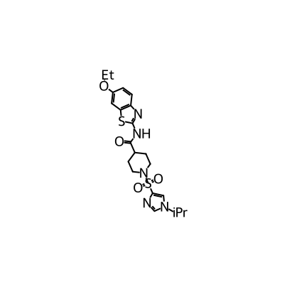 CCOc1ccc2nc(NC(=O)C3CCN(S(=O)(=O)c4cn(C(C)C)cn4)CC3)sc2c1